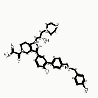 NC(=O)C(=O)N1CCc2c(c(-c3ccc(Cl)c(-c4ccc(CNCc5ccc(Cl)cc5)cc4)c3)nn2C[C@@H](O)CN2CCOCC2)C1